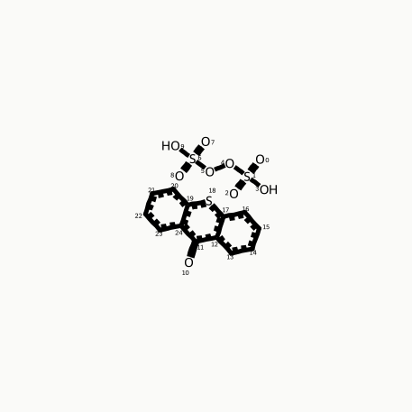 O=S(=O)(O)OOS(=O)(=O)O.O=c1c2ccccc2sc2ccccc12